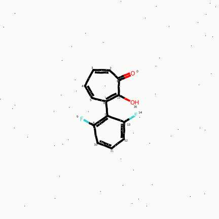 O=c1ccccc(-c2c(F)cccc2F)c1O